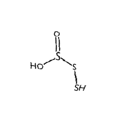 O=S(O)SS